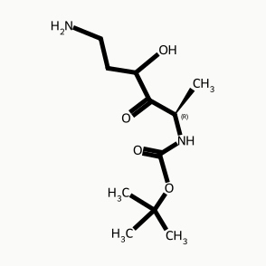 C[C@@H](NC(=O)OC(C)(C)C)C(=O)C(O)CCN